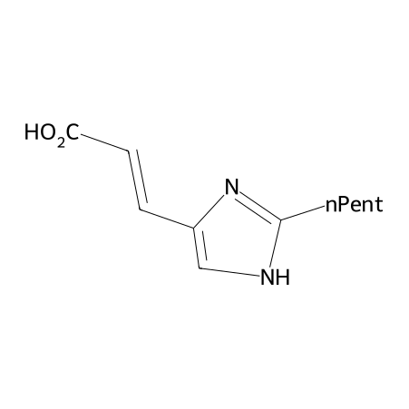 CCCCCc1nc(C=CC(=O)O)c[nH]1